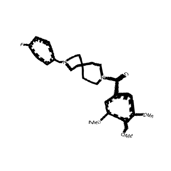 COc1cc(C(=O)N2CCC3(CC2)CN(c2ccc(F)cc2)C3)cc(OC)c1OC